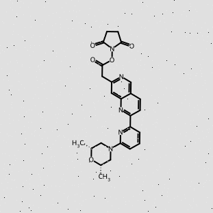 C[C@@H]1CN(c2cccc(-c3ccc4cnc(CC(=O)ON5C(=O)CCC5=O)cc4n3)n2)C[C@H](C)O1